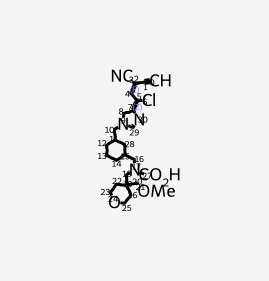 C#C/C(C#N)=C\C(Cl)=C1/CN(CC2CCCC(CN(CC3(COC)CCOCC3)C(=O)O)C2)C=N1